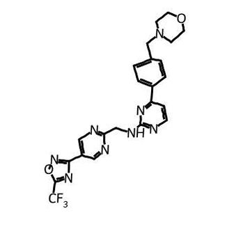 FC(F)(F)c1nc(-c2cnc(CNc3nccc(-c4ccc(CN5CCOCC5)cc4)n3)nc2)no1